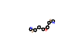 c1cc(-c2ccc3oc4ccc(-c5ccc6sc7cccnc7c6c5)cc4c3c2)cc(-c2ccc3sc4cccnc4c3c2)c1